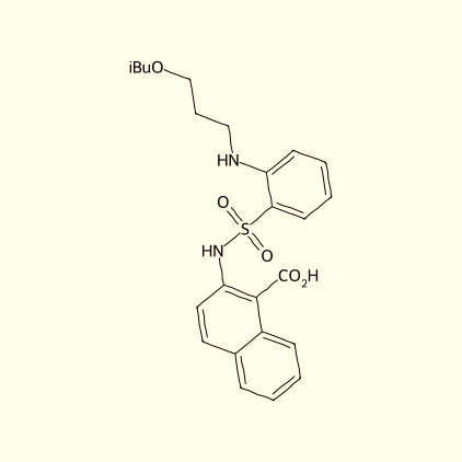 CC(C)COCCCNc1ccccc1S(=O)(=O)Nc1ccc2ccccc2c1C(=O)O